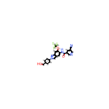 N#Cc1cncc(C(=O)Nc2cc3cn(C4CCC(CO)CC4)nc3cc2OC(F)(F)F)c1